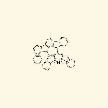 c1ccc(C2=NC(c3ccccc3)NC(n3c4ccccc4c4ccc5c6ccccc6n(-c6cc(-c7ccccc7)ccc6-c6ccccc6)c5c43)=N2)cc1